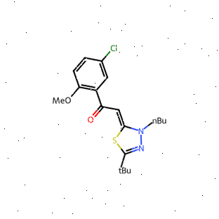 CCCCN1N=C(C(C)(C)C)S/C1=C\C(=O)c1cc(Cl)ccc1OC